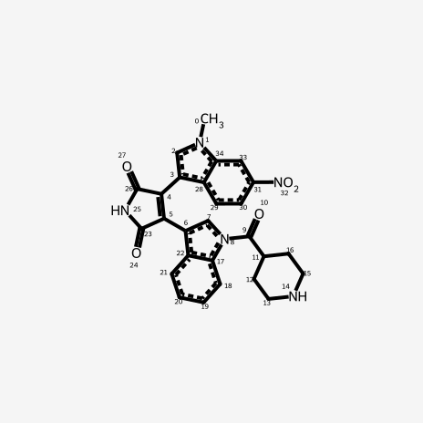 Cn1cc(C2=C(c3cn(C(=O)C4CCNCC4)c4ccccc34)C(=O)NC2=O)c2ccc([N+](=O)[O-])cc21